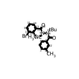 Cc1cccc(C(=O)N(N(C#N)C(=O)c2cccc(Br)c2C)C(C)(C)C)c1